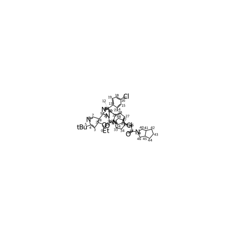 CCOc1cc(C(C)(C)C)ncc1C1=N[C@@](C)(c2ccc(Cl)cc2)[C@@](C)(c2ccc(Cl)cc2)N1C(=O)N1CCC(CC(=O)N2CC3CCCC3C2)CC1